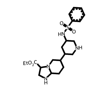 CCOC(=O)C1CNC2CCC(C3CNCC(NS(=O)(=O)c4ccccc4)C3)CN21